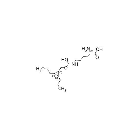 CCC[C@@H]1[C@H](CCC)[C@@H]1COC(O)NCCCC[C@H](N)C(=O)O